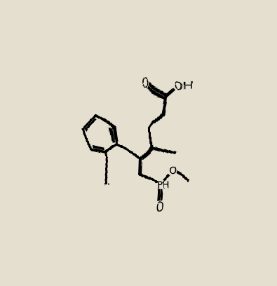 [CH2]c1ccccc1C(C[PH](=O)OC)C(C)CCC(=O)O